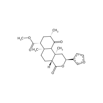 COC(=O)[C@@H]1C[C@H](C)C(=O)C2[C@@]1(C)CC[C@H]1C(=O)O[C@H](c3ccoc3)C[C@]21C